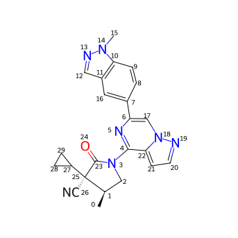 C[C@@H]1CN(c2nc(-c3ccc4c(cnn4C)c3)cn3nccc23)C(=O)[C@]1(C#N)C1CC1